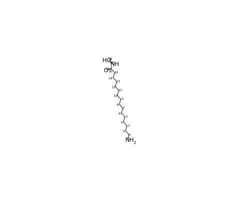 NCCCCCCCCCCCCCCCC(=O)NO